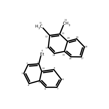 CCc1cccc2ccccc12.Cc1ccc2ccccc2c1C